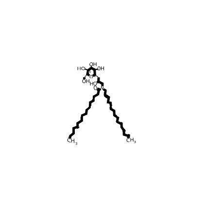 CCCCCCCCCCCCCC=CCN(CC(O)C[C@@H]1O[C@H](CO)[C@@H](O)[C@H](O)[C@H]1O)C(=O)CCCCCCCCCCCCCCC